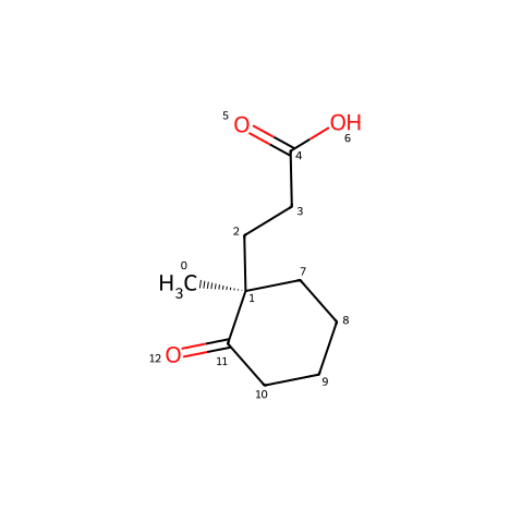 C[C@]1(CCC(=O)O)CCCCC1=O